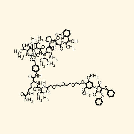 CCC(C)[C@@H]([C@@H](CC(=O)N1CCC[C@H]1[C@H](OC)[C@@H](C)C(=O)N[C@H](C)[C@@H](O)c1ccccc1)OC)N(C)C(=O)[C@@H](NC(=O)[C@H](C(C)C)N(C)C(=O)OCc1ccc(NC(=O)[C@H](CCCNC(N)=O)NC(=O)[C@@H](NC(=O)COCCOCCOCCOc2c(OC)cc(N3C(=O)C(Sc4ccccc4)=C(Sc4ccccc4)C3=O)cc2OC)C(C)C)cc1)C(C)C